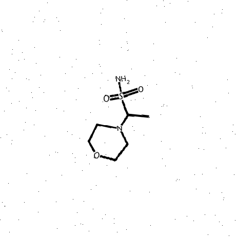 CC(N1CCOCC1)S(N)(=O)=O